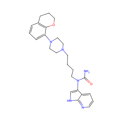 NC(=O)N(CCCCN1CCN(c2cccc3c2OCCC3)CC1)c1c[nH]c2ncccc12